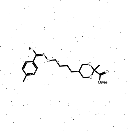 CCC(=NOCCCCC1COC(C)(C(=O)OC)OC1)c1ccc(C)cc1